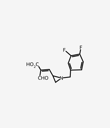 O=C/C(=C\C1CN1Cc1ccc(F)c(F)c1)C(=O)O